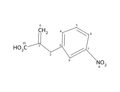 C=C(Cc1cccc([N+](=O)[O-])c1)C(=O)O